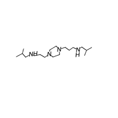 CC(C)CNCCCN1CCN(CCCNCC(C)C)CC1